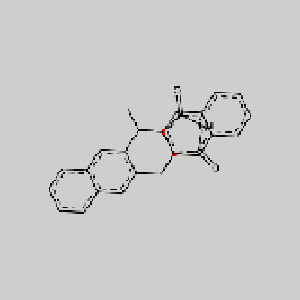 CC12c3cc4ccccc4cc3C(c3cc4ccccc4cc31)C1C(=O)NC(=O)C12